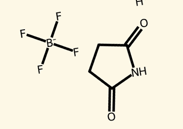 F[B-](F)(F)F.O=C1CCC(=O)N1.[H+]